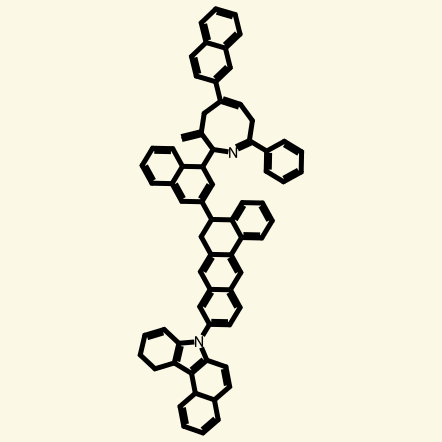 C=C1C/C(c2ccc3ccccc3c2)=C\C/C(c2ccccc2)=N\C1C1C=C(C2Cc3cc4cc(-n5c6c(c7c5C=CC5C=CC=CC75)CCC=C6)ccc4cc3-c3ccccc32)C=C2C=CC=CC21